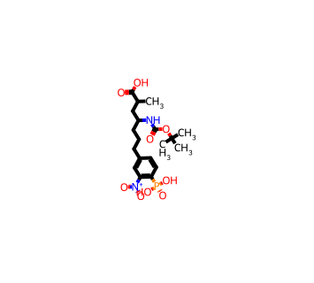 CC(CC(CCCc1ccc(P(=O)(O)O)c([N+](=O)[O-])c1)NC(=O)OC(C)(C)C)C(=O)O